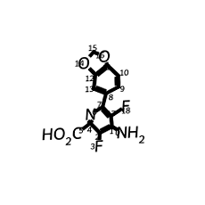 Nc1c(F)c(C(=O)O)nc(-c2ccc3c(c2)OCO3)c1F